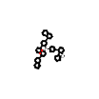 c1ccc(-c2ccc(-c3cccc4ccccc34)cc2N(c2ccc(-c3ccc4ccccc4c3)cc2)c2ccc(-c3cccc4oc5ccccc5c34)cc2)cc1